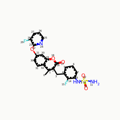 Cc1c(Cc2cccc(NS(N)(=O)=O)c2F)c(=O)oc2cc(Oc3ncccc3F)ccc12